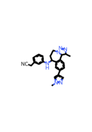 CC1N=NN2CCC(Nc3cccc(CC#N)c3)c3cc(-c4cnn(C)c4)ccc3C12